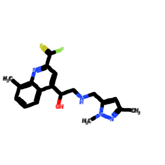 Cc1cc(CNCC(O)c2cc(C(F)=S)nc3c(C)cccc23)n(C)n1